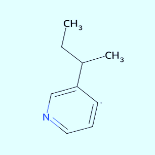 CCC(C)c1[c]ccnc1